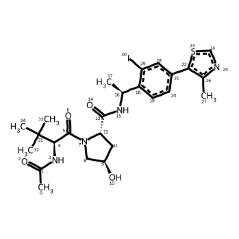 CC(=O)N[C@H](C(=O)N1C[C@H](O)C[C@H]1C(=O)N[C@@H](C)c1ccc(-c2scnc2C)cc1I)C(C)(C)C